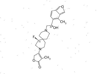 CC1=C(N2CCC3(CCN(C[C@H](O)c4ccc5cocc5c4C)CC3)[C@H](F)C2)COC1=O